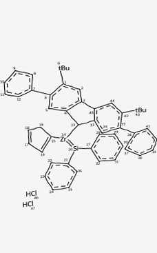 CC(C)(C)c1cc2c(cc1-c1ccccc1)[CH]([Zr]([C]1=CC=CC1)=[Si](c1ccccc1)c1ccccc1)c1cc(-c3ccccc3)c(C(C)(C)C)cc1-2.Cl.Cl